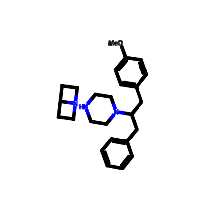 C1CN2CCC12.COc1ccc(CC(Cc2ccccc2)N2CCNCC2)cc1